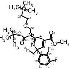 COC(=O)C1=CC(CF)(c2cccc(F)c2F)N=C(N(COCC[Si](C)(C)C)C(=O)OC(C)(C)C)S1